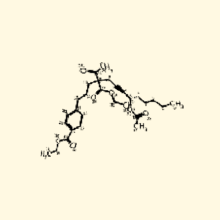 CCCCC[C@@H](C#CCC(CCCc1ccc(C(=O)OCC)cc1)(C(C)=O)C(=O)OCC)OC(C)=O